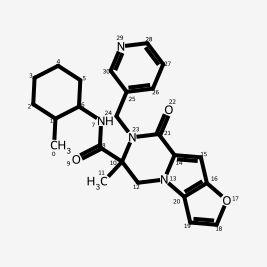 CC1CCCCC1NC(=O)C1(C)Cn2c(cc3occc32)C(=O)N1Cc1cccnc1